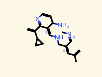 C=C(C)/C=C(\C=N/C)CN/C=C1/C(C(=C)C2CC2)=NC=CC1N